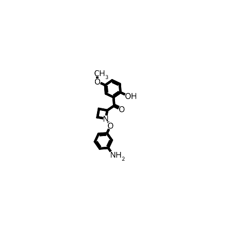 COc1ccc(O)c(C(=O)C2CCN2Oc2cccc(N)c2)c1